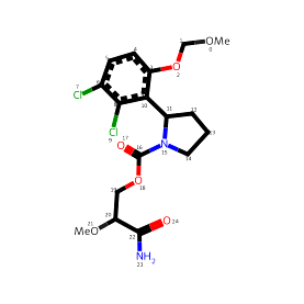 COCOc1ccc(Cl)c(Cl)c1C1CCCN1C(=O)OCC(OC)C(N)=O